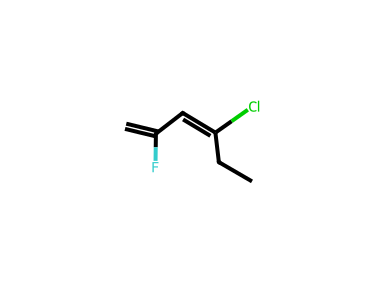 C=C(F)/C=C(/Cl)CC